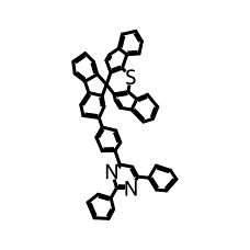 c1ccc(-c2cc(-c3ccc(-c4ccc5c(c4)C4(c6ccccc6-5)c5ccc6ccccc6c5Sc5c4ccc4ccccc54)cc3)nc(-c3ccccc3)n2)cc1